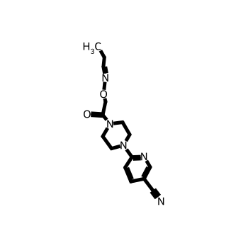 CCC=NOCC(=O)N1CCN(c2ccc(C#N)cn2)CC1